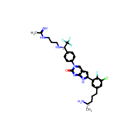 CC(=N)NCCCN[C@H](c1ccc(-n2cc3cc(-c4cc(CCC[C@H](C)N)cc(Cl)c4F)[nH]c3nc2=O)cc1)C(F)(F)F